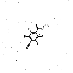 COC(=O)c1c(F)c(F)c(C#N)c(F)c1F